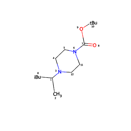 CCC(C)C(C)N1CCN(C(=O)OC(C)(C)C)CC1